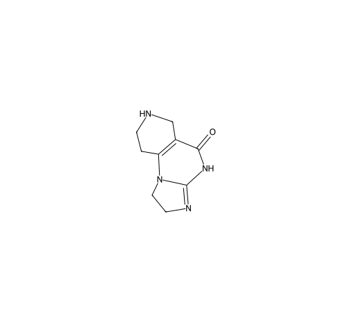 O=C1NC2=NCCN2C2=C1CNCC2